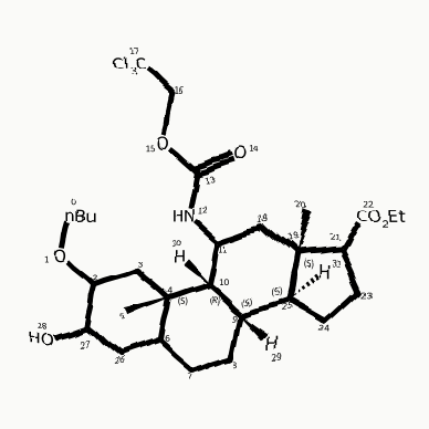 CCCCOC1C[C@@]2(C)C(CC[C@@H]3[C@H]2C(NC(=O)OCC(Cl)(Cl)Cl)C[C@]2(C)C(C(=O)OCC)CC[C@@H]32)CC1O